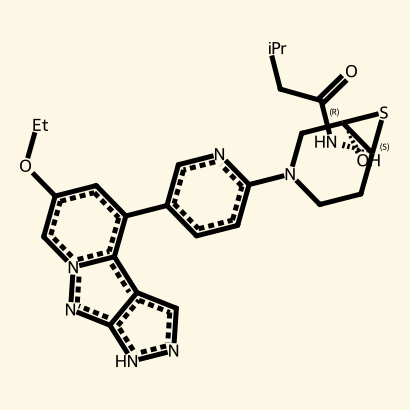 CCOc1cc(-c2ccc(N3CC[C@]4(NC(=O)CC(C)C)S[C@]4(O)C3)nc2)c2c3cn[nH]c3nn2c1